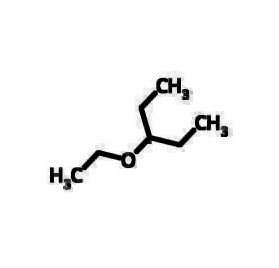 CCO[C](CC)CC